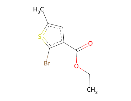 CCOC(=O)c1cc(C)sc1Br